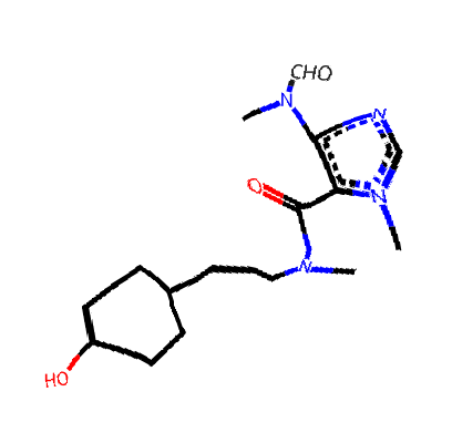 CN(CCC1CCC(O)CC1)C(=O)c1c(N(C)C=O)ncn1C